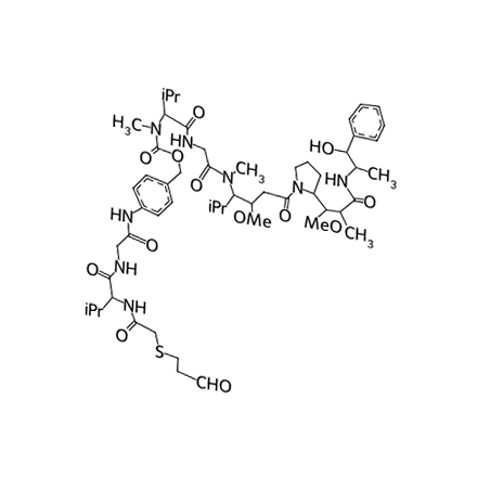 COC(CC(=O)N1CCCC1C(OC)C(C)C(=O)NC(C)C(O)c1ccccc1)C(C(C)C)N(C)C(=O)CNC(=O)C(C(C)C)N(C)C(=O)OCc1ccc(NC(=O)CNC(=O)C(NC(=O)CSCCC=O)C(C)C)cc1